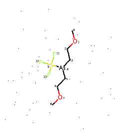 COCC[As](CCOC)S(F)(F)F